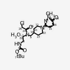 C[C@@H](CNC(=O)OC(C)(C)C)N(CC1CCN(c2ccc(=O)n(C)n2)CC1)C(=O)CCl